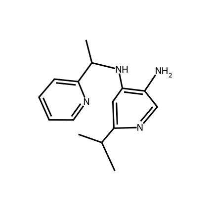 CC(C)c1cc(NC(C)c2ccccn2)c(N)cn1